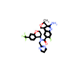 C[C@H]1OCc2c1c(N)nc1cc(F)c(C(=O)N(Cc3ncccn3)C3CCOc4cc(C(F)(F)F)ccc43)cc21